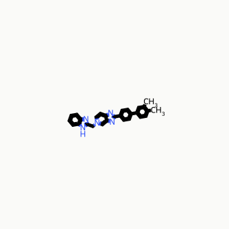 Cc1ccc(-c2ccc(-c3nc4ccn(Cc5nc6ccccc6[nH]5)cc-4n3)cc2)cc1C